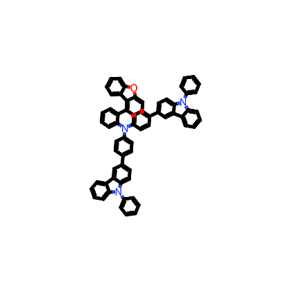 C1=c2oc3ccccc3c2=C(c2ccccc2N(c2ccc(-c3ccc4c(c3)c3ccccc3n4-c3ccccc3)cc2)c2ccc(-c3ccc4c(c3)c3ccccc3n4-c3ccccc3)cc2)CC1